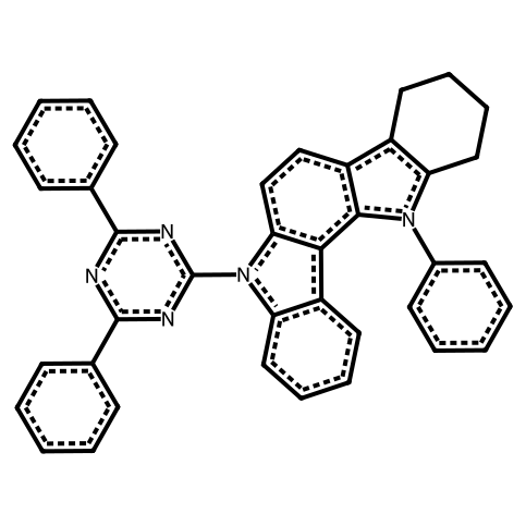 c1ccc(-c2nc(-c3ccccc3)nc(-n3c4ccccc4c4c5c(ccc43)c3c(n5-c4ccccc4)CCCC3)n2)cc1